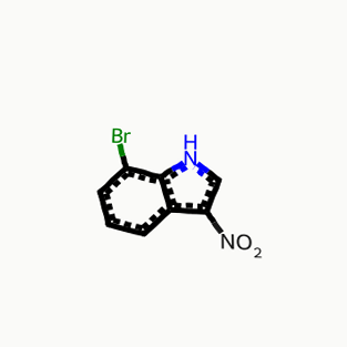 O=[N+]([O-])c1c[nH]c2c(Br)cccc12